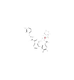 COc1cccc2c(C(=O)NCc3cccc(F)c3)cn(CCCN3C4CCC3CN(CC(=O)c3ccc(F)c(Cl)c3)C4)c12